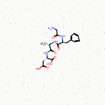 C[C@H](NC(=O)[C@H](Cc1ccccc1)NC(=O)CN)C(=O)N[C@@H](CC(=O)O)C(=O)O